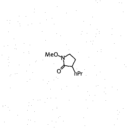 CCCC1CCN(OC)C1=O